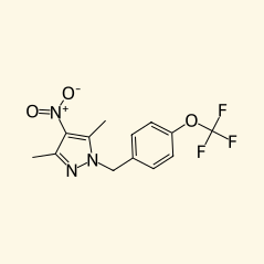 Cc1nn(Cc2ccc(OC(F)(F)F)cc2)c(C)c1[N+](=O)[O-]